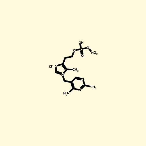 Cc1ncc(C[n+]2csc(CCOP(=O)(O)O[N+](=O)[O-])c2C)c(N)n1.[Cl-]